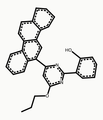 CCCOc1cc(-c2cc3c4ccccc4ccc3c3ccccc23)nc(-c2ccccc2O)n1